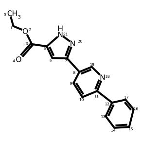 CCOC(=O)c1cc(-c2ccc(-c3ccccc3)nc2)n[nH]1